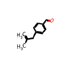 C=C(C)Cc1ccc(C=O)cc1